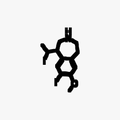 COc1cc2c(cc1I)C(C(C)I)CNCC2